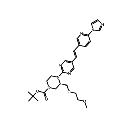 COCCOC[C@H]1CN(C(=O)OC(C)(C)C)CCN1c1ncc(/C=C/c2ccc(-n3ccnc3)nc2)cn1